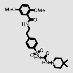 COc1ccc(OC)c(C(=O)NCCc2ccc(S(=O)(=O)NC(=O)NN3CCC(C)(C)CC3)cc2)c1